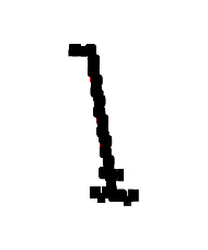 COCCOCCOCCOCCOCCOCCOCCOCCOCCOCCOCCOCCC(=O)NCCCC[C@@H](N)C(=O)O